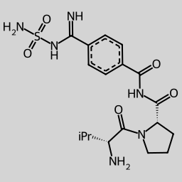 CC(C)[C@@H](N)C(=O)N1CCC[C@H]1C(=O)NC(=O)c1ccc(C(=N)NS(N)(=O)=O)cc1